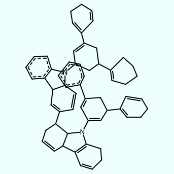 C1=CC(C2=CC(N3c4ccccc4C4C=C(C5CC=CC6C7=C(CCC=C7)N(C7=CC(C8=CCCC=C8)CC(c8ccccc8)=C7)C65)C=CC43)CC(C3=CCCCC3)C2)=CCC1